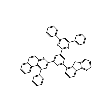 c1ccc(-c2cc(-c3ccccc3)nc(-c3cc(-c4cc(-c5ccccc5)c5c(ccc6ccccc65)n4)cc(-c4cccc5c4Cc4ccccc4-5)c3)n2)cc1